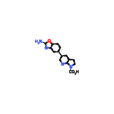 Nc1nc2cc(-c3cnc4c(ccn4C(=O)O)c3)ccc2o1